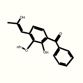 CCCOc1c(C=C(C)O)ccc(C(=O)c2ccccc2)c1O